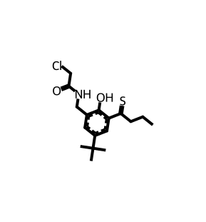 CCCC(=S)c1cc(C(C)(C)C)cc(CNC(=O)CCl)c1O